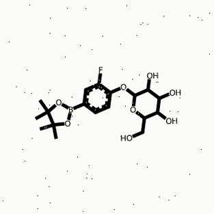 CC1(C)OB(c2ccc(OC3OC(CO)C(O)C(O)C3O)c(F)c2)OC1(C)C